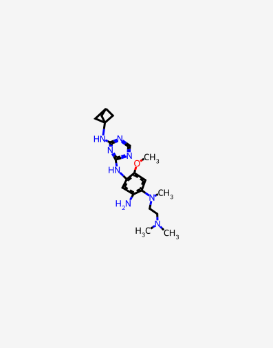 COc1cc(N(C)CCN(C)C)c(N)cc1Nc1ncnc(NC23CC(C2)C3)n1